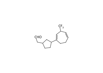 O=CCC1CCC(C2=CC(C(F)(F)F)C=CCC2)C1